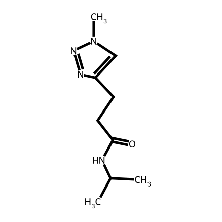 CC(C)NC(=O)CCc1cn(C)nn1